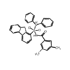 Cc1cc(C)cc(C(=O)[NH][Zr]([Cl])([Cl])([c]2cccc3c2Cc2ccccc2-3)[SiH](c2ccccc2)c2ccccc2)c1